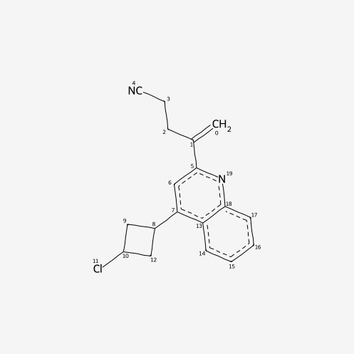 C=C(CCC#N)c1cc(C2CC(Cl)C2)c2ccccc2n1